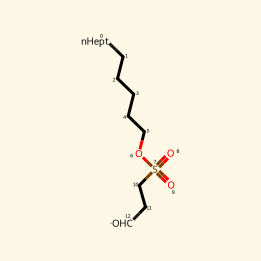 CCCCCCCCCCCCOS(=O)(=O)CC[C]=O